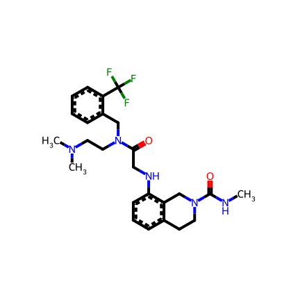 CNC(=O)N1CCc2cccc(NCC(=O)N(CCN(C)C)Cc3ccccc3C(F)(F)F)c2C1